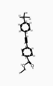 CCOC(=O)c1ccc(C#Cc2ccc(C(C)(C)C)cc2)cc1